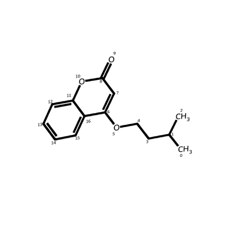 CC(C)CCOc1cc(=O)oc2ccccc12